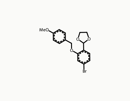 COc1ccc(COc2cc(Br)ccc2C2OCCO2)cc1